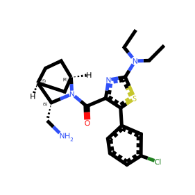 CCN(CC)c1nc(C(=O)N2[C@@H]3CC[C@@H](C3)[C@H]2CN)c(-c2cccc(Cl)c2)s1